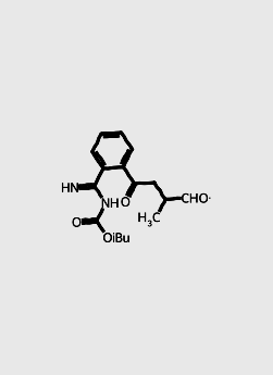 CC(C)COC(=O)NC(=N)c1ccccc1C(=O)CC(C)[C]=O